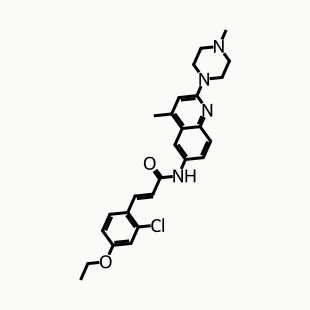 CCOc1ccc(C=CC(=O)Nc2ccc3nc(N4CCN(C)CC4)cc(C)c3c2)c(Cl)c1